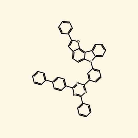 c1ccc(-c2ccc(-c3nc(-c4ccccc4)nc(-c4cccc(-n5c6ccccc6c6c7oc(-c8ccccc8)cc7ccc65)c4)n3)cc2)cc1